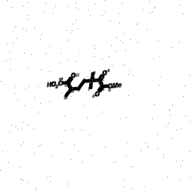 COC(=O)C(=O)C(C)(C)CCC(C)C(=O)C(=O)O